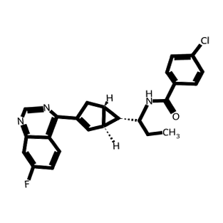 CCC(NC(=O)c1ccc(Cl)cc1)[C@@H]1[C@H]2C=C(c3ncnc4cc(F)ccc34)C[C@H]21